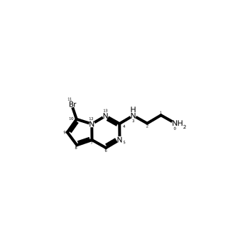 NCCNc1ncc2ccc(Br)n2n1